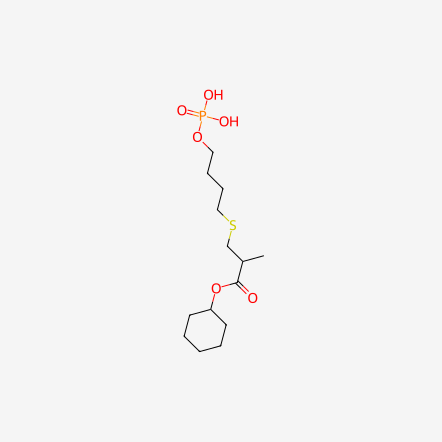 CC(CSCCCCOP(=O)(O)O)C(=O)OC1CCCCC1